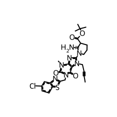 CC#CCn1c(N2CCCC(C(=O)OC(C)(C)C)[C@@H]2N)nc2c1c(=O)n(Cc1nc3cc(Cl)ccc3s1)c(=O)n2C